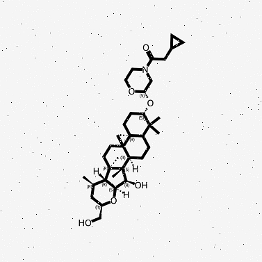 C[C@@H]1C[C@H](CO)O[C@H]2[C@H]1[C@@]1(C)CCC34C[C@@]35CC[C@H](O[C@H]3CN(C(=O)CC6CC6)CCO3)C(C)(C)C5CC[C@H]4[C@]1(C)[C@H]2O